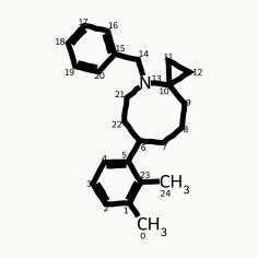 Cc1cccc(C2CCCC3(CC3)N(Cc3ccccc3)CC2)c1C